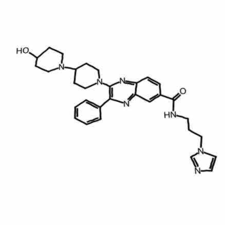 O=C(NCCCn1ccnc1)c1ccc2nc(N3CCC(N4CCC(O)CC4)CC3)c(-c3ccccc3)nc2c1